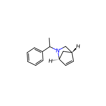 CC(c1ccccc1)N1C[C@@H]2C=C[C@@H]1C2